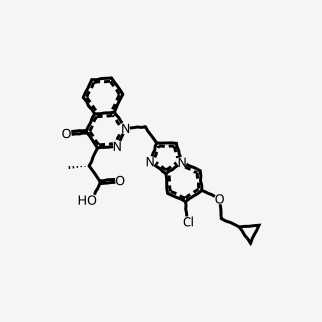 C[C@@H](C(=O)O)c1nn(Cc2cn3cc(OCC4CC4)c(Cl)cc3n2)c2ccccc2c1=O